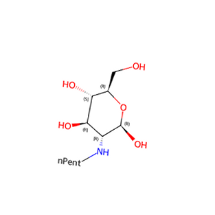 CCCCCN[C@@H]1[C@@H](O)[C@H](O)[C@@H](CO)O[C@H]1O